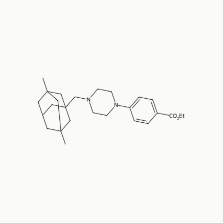 CCOC(=O)c1ccc(N2CCN(CC34CC5CC(C)(CC(C)(C5)C3)C4)CC2)cc1